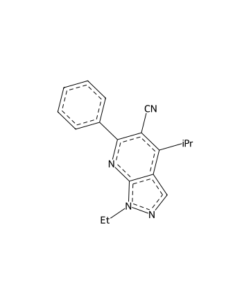 CCn1ncc2c(C(C)C)c(C#N)c(-c3ccccc3)nc21